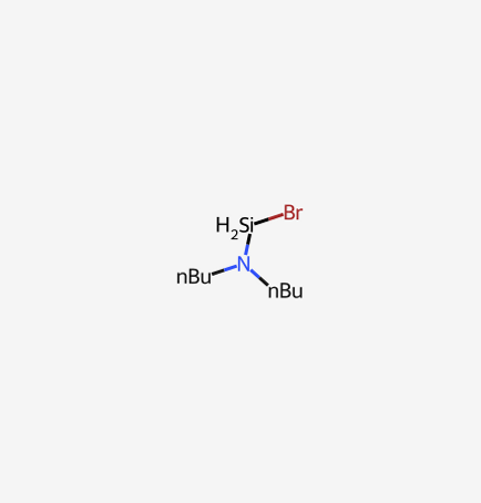 CCCCN(CCCC)[SiH2]Br